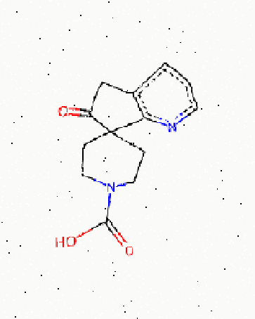 O=C(O)N1CCC2(CC1)C(=O)Cc1cccnc12